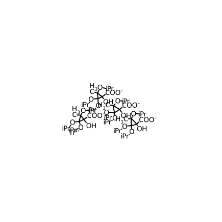 CC(C)OC1(C)C(OC(C)C)(OC(C)C)C1(O)C(=O)[O-].CC(C)OC1(C)C(OC(C)C)(OC(C)C)C1(O)C(=O)[O-].CC(C)OC1(C)C(OC(C)C)(OC(C)C)C1(O)C(=O)[O-].CC(C)OC1(C)C(OC(C)C)(OC(C)C)C1(O)C(=O)[O-].[Ti+4]